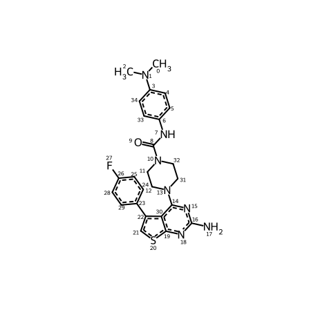 CN(C)c1ccc(NC(=O)N2CCN(c3nc(N)nc4scc(-c5ccc(F)cc5)c34)CC2)cc1